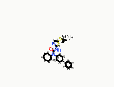 CC(C)(Sc1cnc(NC(=O)N(C2CCCCCC2)[C@H]2CC[C@H](c3ccccc3)CC2)s1)C(=O)O